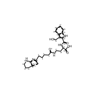 O=C(CCCCc1ccc2c(n1)NCCC2)NCCC(NC(=O)c1[nH]c2ccccc2c1CO)C(=O)O